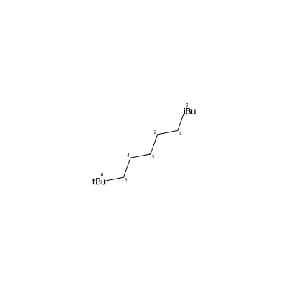 CCC(C)CCCCCC(C)(C)C